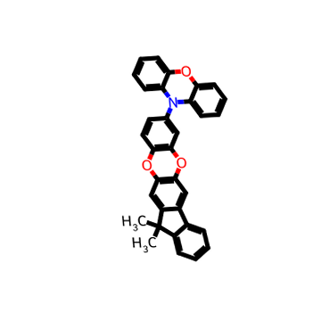 CC1(C)c2ccccc2-c2cc3c(cc21)Oc1ccc(N2c4ccccc4Oc4ccccc42)cc1O3